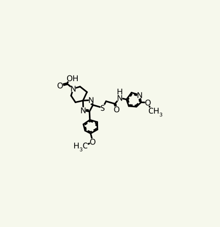 COc1ccc(C2=NC3(CCN(C(=O)O)CC3)N=C2SCC(=O)Nc2ccc(OC)nc2)cc1